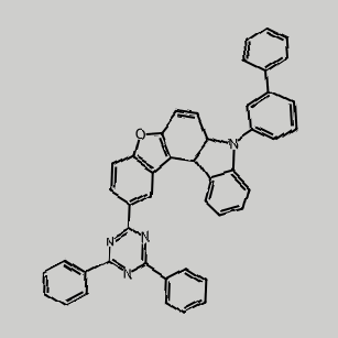 C1=CC2C(c3ccccc3N2c2cccc(-c3ccccc3)c2)c2c1oc1ccc(-c3nc(-c4ccccc4)nc(-c4ccccc4)n3)cc21